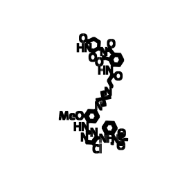 COc1cc(N2CC3(CN(CCC(=O)Nc4cccc5c4C(=O)N(C4CCC(=O)NC4=O)C5=O)C3)C2)ccc1Nc1ncc(Cl)c(Nc2ccccc2N(C)S(C)(=O)=O)n1